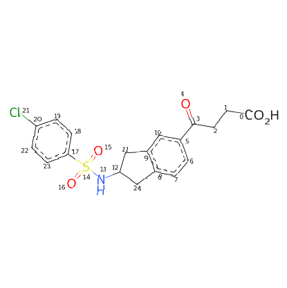 O=C(O)CCC(=O)c1ccc2c(c1)CC(NS(=O)(=O)c1ccc(Cl)cc1)C2